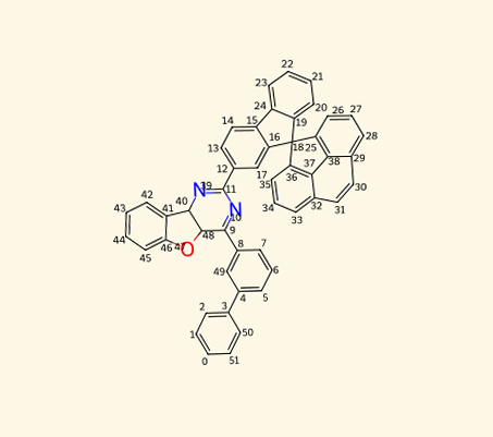 c1ccc(-c2cccc(C3=NC(c4ccc5c(c4)C4(c6ccccc6-5)c5cccc6ccc7cccc4c7c56)=NC4c5ccccc5OC34)c2)cc1